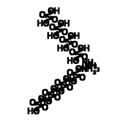 N.N.N.O=S(=O)(O)O.O=S(=O)(O)O.O=S(=O)(O)O.O=S(=O)(O)O.O=S(=O)(O)O.O=S(=O)(O)O.O=S(=O)(O)O.O=S(=O)(O)O